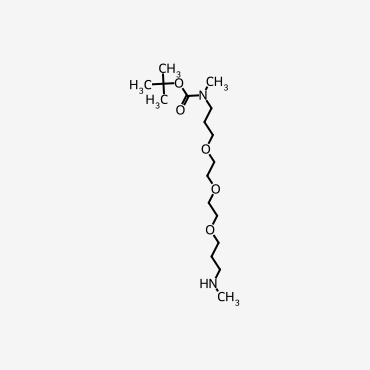 CNCCCOCCOCCOCCCN(C)C(=O)OC(C)(C)C